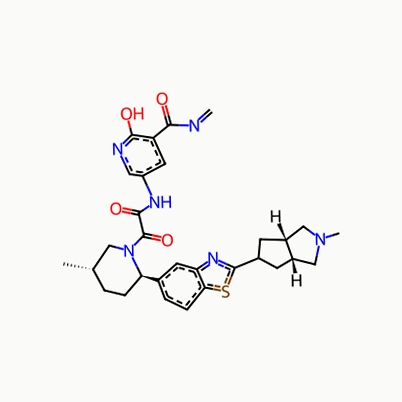 C=NC(=O)c1cc(NC(=O)C(=O)N2C[C@@H](C)CC[C@@H]2c2ccc3sc(C4C[C@@H]5CN(C)C[C@@H]5C4)nc3c2)cnc1O